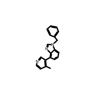 Cc1ccncc1-c1cccc2c1ncn2Cc1ccccc1